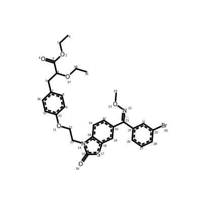 CCOC(=O)C(Cc1ccc(OCCn2c(=O)sc3cc(/C(=N\OC)c4cccc(Br)c4)ccc32)cc1)OCC